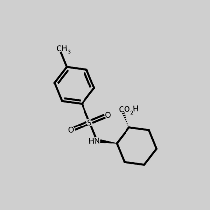 Cc1ccc(S(=O)(=O)N[C@@H]2CCCC[C@H]2C(=O)O)cc1